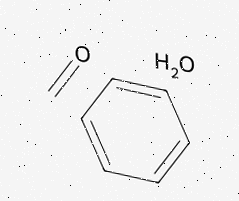 C=O.O.c1ccccc1